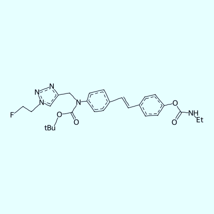 CCNC(=O)Oc1ccc(/C=C/c2ccc(N(Cc3cn(CCF)nn3)C(=O)OC(C)(C)C)cc2)cc1